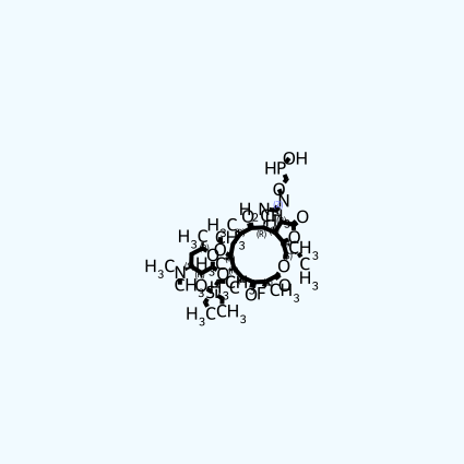 CC[C@@H]1OC(=O)[C@@](C)(F)C(=O)[C@H](C)[C@@H](OC2O[C@H](C)C[C@H](N(C)C)[C@H]2O[Si](CC)(CC)CC)[C@](C)(OC)C[C@@H](C)C(=O)[C@H](C)[C@H]2[C@H](/C(N)=N/OCPO)C(=O)O[C@]21C